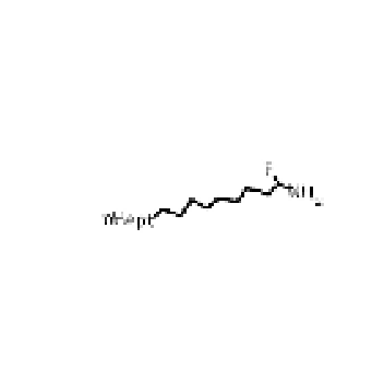 CCCCCCCCCCCCCCCC(N)F